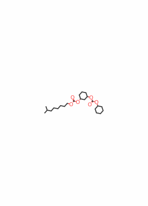 CC(C)CCCCCCOC(=O)OC1CCCC(OC(=O)OC2CCCCC2)C1